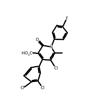 Cc1c(Cl)c(-c2ccc(Cl)c(Cl)c2)c(C(=O)O)c(=O)n1-c1ccc(F)cc1